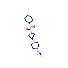 CN1CCN(C2CN(C(=O)NC3CCCCC3)C2)CC1